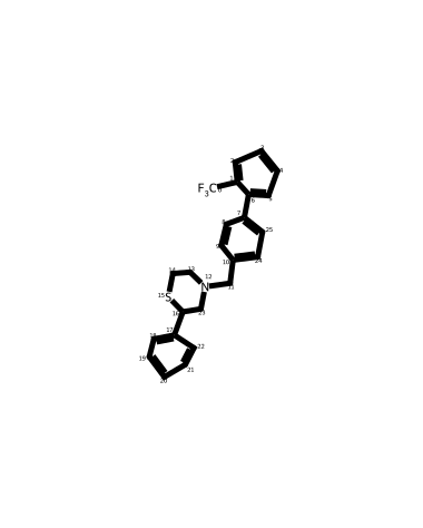 FC(F)(F)c1ccccc1-c1ccc(CN2CCSC(c3ccccc3)C2)cc1